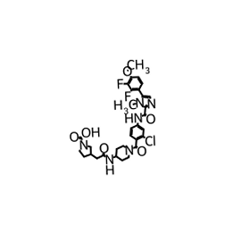 COc1ccc(-c2cnc(C(=O)Nc3ccc(C(=O)N4CCC(NC(=O)CC5CCN(C(=O)O)C5)CC4)c(Cl)c3)n2C)c(F)c1F